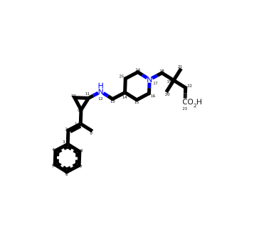 C/C(=C\c1ccccc1)C1CC1NCC1CCN(CC(C)(C)CC(=O)O)CC1